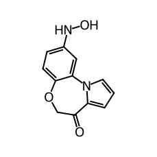 O=C1COc2ccc(NO)cc2-n2cccc21